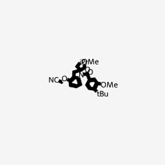 COC(=O)C1(CC(C)C)Cc2c(OCC#N)cccc2N1C(=O)c1ccc(C(C)(C)C)c(OC)c1